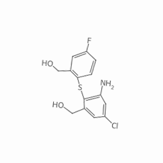 Nc1cc(Cl)cc(CO)c1Sc1ccc(F)cc1CO